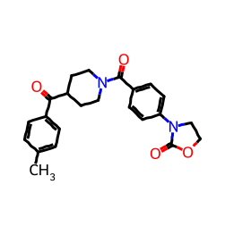 Cc1ccc(C(=O)C2CCN(C(=O)c3ccc(N4CCOC4=O)cc3)CC2)cc1